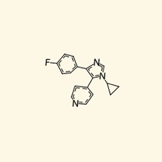 Fc1ccc(-c2ncn(C3CC3)c2-c2ccncc2)cc1